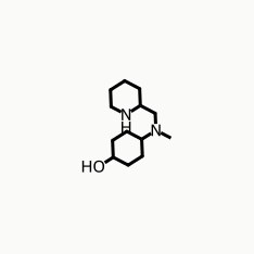 CN(CC1CCCCN1)C1CCC(O)CC1